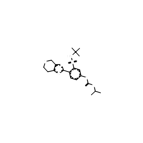 CC(C)OC(=O)Nc1ccc(-c2nc3c(s2)CNCC3)c(S(=O)(=O)NC(C)(C)C)c1